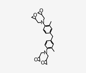 Cc1cc(Cc2ccc(N(CC3CO3)CC3CO3)c(C)c2)ccc1N(CC1CO1)CC1CO1